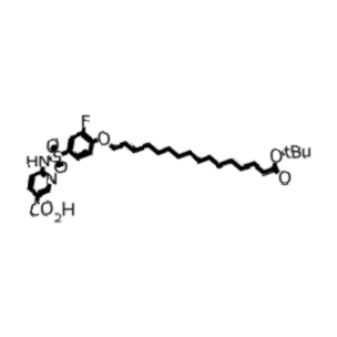 CC(C)(C)OC(=O)CCCCCCCCCCCCCCCOc1ccc(S(=O)(=O)Nc2ccc(C(=O)O)cn2)cc1F